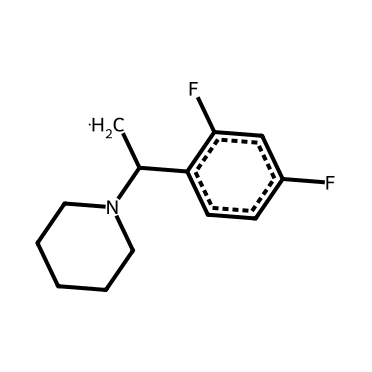 [CH2]C(c1ccc(F)cc1F)N1CCCCC1